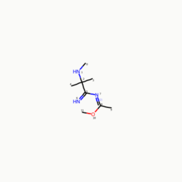 CNC(C)(C)C(=N)/N=C(/C)OC